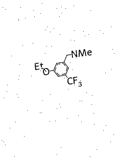 CCOc1cc(CNC)cc(C(F)(F)F)c1